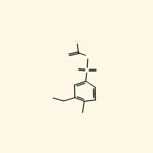 CCc1cc(S(=O)(=O)OC(N)=O)ccc1C